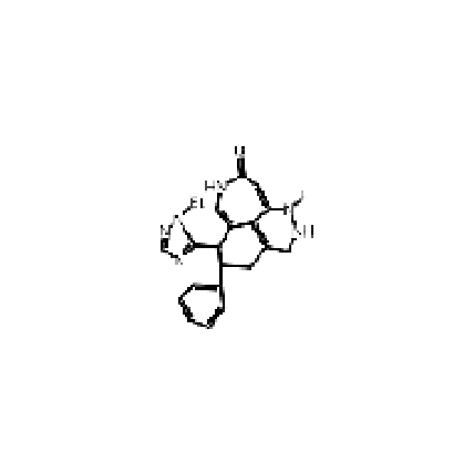 CCn1ncnc1C1C2=CNC(=O)C=C3C2=C(CNN3F)CC1c1ccccc1